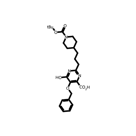 CC(C)(C)OC(=O)N1CCC(CCCc2nc(O)c(OCc3ccccc3)c(C(=O)O)n2)CC1